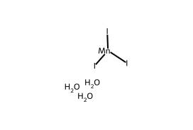 O.O.O.[I][Mn]([I])[I]